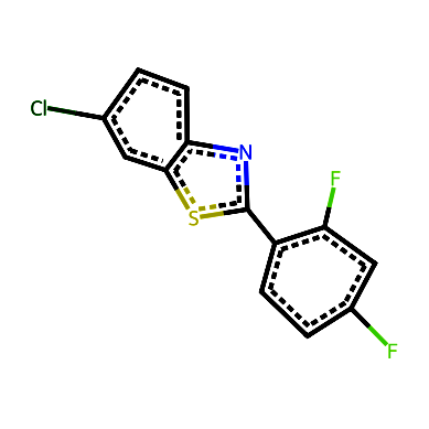 Fc1ccc(-c2nc3ccc(Cl)cc3s2)c(F)c1